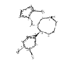 Cc1ccnn1C[C@@H]1CNCCO[C@H]1c1ccc(Cl)c(Cl)c1